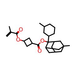 C=C(C)C(=O)OC1CC(C(=O)OC2(C3CCCC(C)C3)C3CC4CC2CC(C)(C4)C3)C1